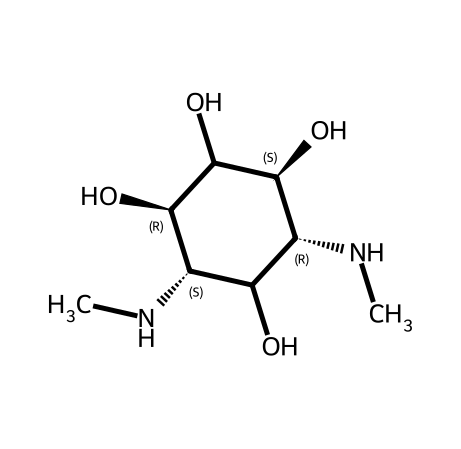 CN[C@@H]1C(O)[C@H](NC)[C@@H](O)C(O)[C@H]1O